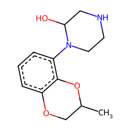 CC1COc2cccc(N3CCNCC3O)c2O1